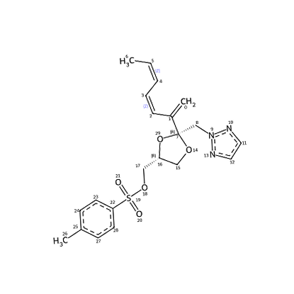 C=C(/C=C\C=C/C)[C@@]1(Cn2nccn2)OC[C@H](COS(=O)(=O)c2ccc(C)cc2)O1